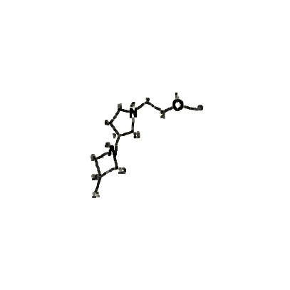 COCCN1CCC(N2CC(C)C2)C1